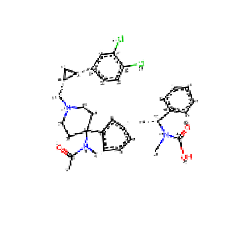 CC(=O)N(C)C1(c2ccccc2)CCN(C[C@@H]2C[C@@H]2c2ccc(Cl)c(Cl)c2)CC1.C[C@H](c1ccccc1)N(C)C(=O)O